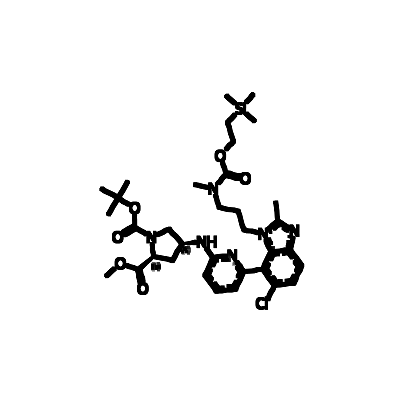 COC(=O)[C@@H]1C[C@H](Nc2cccc(-c3c(Cl)ccc4nc(C)n(CCCN(C)C(=O)OCC[Si](C)(C)C)c34)n2)CN1C(=O)OC(C)(C)C